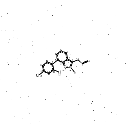 C=CCc1c2cccc(-c3ccc(Cl)cc3Cl)c2nn1C